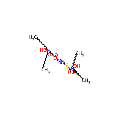 CCCCCCCCCCC(O)CN(CCCCC(=O)OCCN1CCN(CCSSCCC(C)N(CC(O)CCCCCCCC)CC(O)CCCCCCCC)CC1)CC(O)CCCCCCCCCC